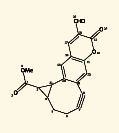 COC(=O)C1C2CCC#Cc3cc4oc(=O)c(C=O)cc4cc3C21